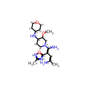 COC1CN(/C(N)=C(/C=C(/C)N)c2nc(C)no2)CCC1NC1CCOCC1